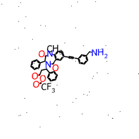 CN1C(=O)C(c2ccccc2)N(C(CC(=O)OC(=O)C(F)(F)F)c2ccccc2)C(=O)c2cc(C#Cc3cccc(CN)c3)ccc21